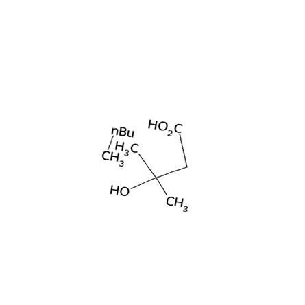 CC(C)(O)CC(=O)O.CCCCC